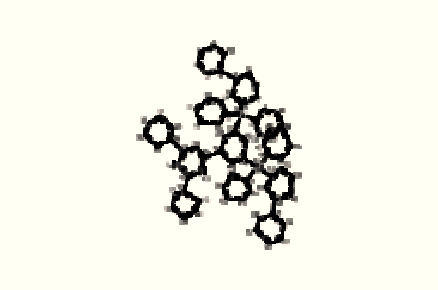 c1ccc(-c2cccc([Si](c3ccccc3)(c3ccccc3)c3cc(-c4cc(-c5ccccc5)nc(-c5ccccc5)n4)cc([Si](c4ccccc4)(c4ccccc4)c4cccc(-c5ccccc5)c4)c3)c2)cc1